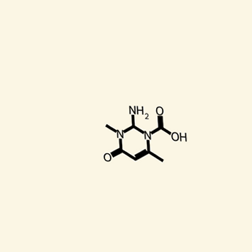 CC1=CC(=O)N(C)C(N)N1C(=O)O